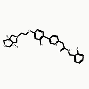 O=C(Cc1ccc(-c2ccc(OCCN3C[C@H]4COC[C@H]4C3)cc2Cl)cn1)NCc1ccccc1F